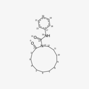 O=C1CCCCCCCCCCCN1C(=O)Nc1ccccc1